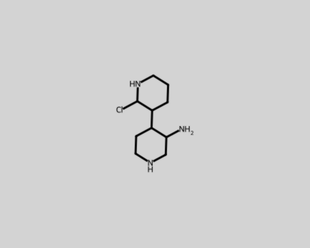 NC1CNCCC1C1CCCNC1Cl